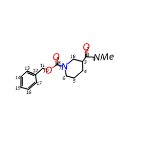 CNC(=O)C1CCCN(C(=O)OCc2ccccc2)C1